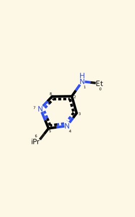 CCNc1cnc(C(C)C)nc1